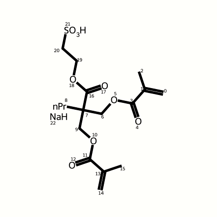 C=C(C)C(=O)OCC(CCC)(COC(=O)C(=C)C)C(=O)OCCS(=O)(=O)O.[NaH]